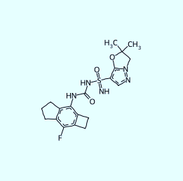 CC1(C)Cn2ncc(S(=N)(=O)NC(=O)Nc3c4c(c(F)c5c3CC5)CCC4)c2O1